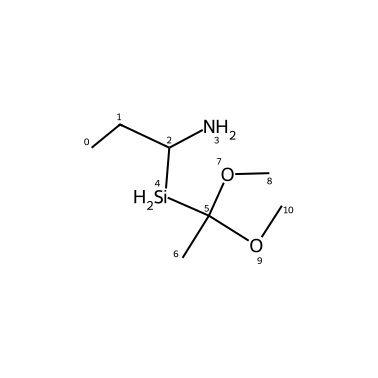 CCC(N)[SiH2]C(C)(OC)OC